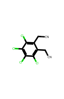 N#CCc1c(Cl)c(Cl)c(Cl)c(Cl)c1CC#N